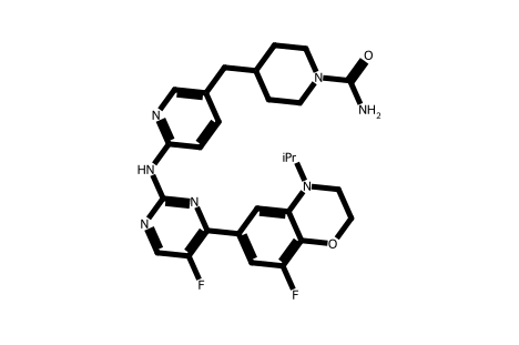 CC(C)N1CCOc2c(F)cc(-c3nc(Nc4ccc(CC5CCN(C(N)=O)CC5)cn4)ncc3F)cc21